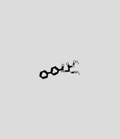 COC(=O)[C@H](CN)NC(=O)c1ccc(-c2ccccc2)cc1